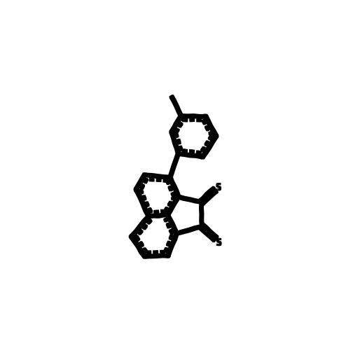 Cc1cccc(-c2ccc3cccc4c3c2C(=S)C4=S)c1